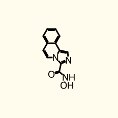 O=C(NO)c1ncc2c3ccccc3ccn12